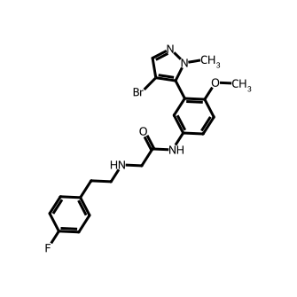 COc1ccc(NC(=O)CNCCc2ccc(F)cc2)cc1-c1c(Br)cnn1C